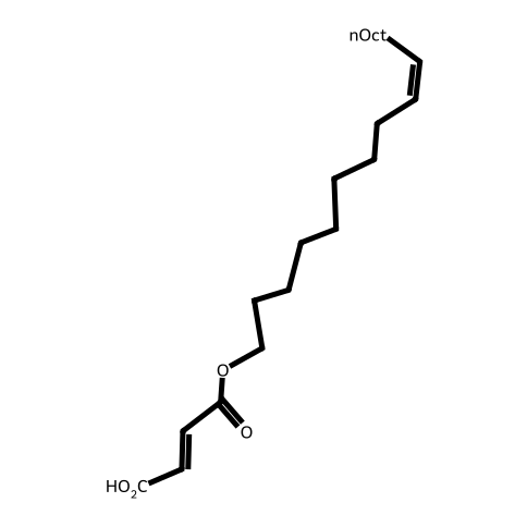 CCCCCCCC/C=C\CCCCCCCCOC(=O)/C=C/C(=O)O